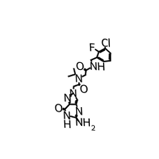 CC(C)N(CC(=O)NCc1cccc(Cl)c1F)C(=O)Cn1cc2nc(N)[nH]c(=O)c2n1